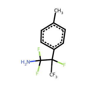 Cc1ccc(C(F)(C(N)(F)F)C(F)(F)F)cc1